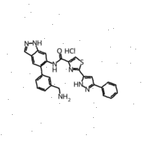 Cl.NCc1cccc(-c2cc3cn[nH]c3cc2NC(=O)c2csc(-c3cc(-c4ccccc4)n[nH]3)n2)c1